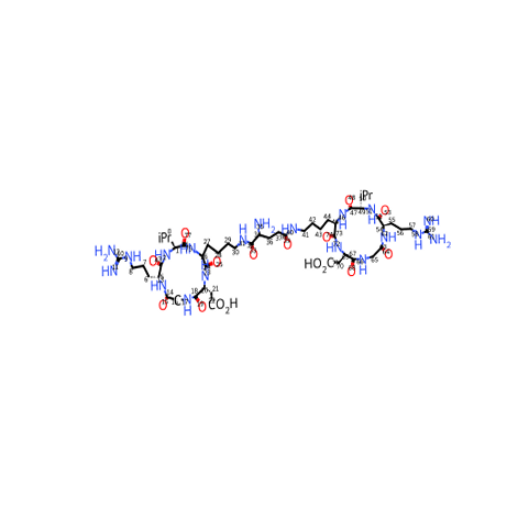 CC(C)[C@@H]1NC(=O)[C@@H](CCCNC(=N)N)NC(=O)CNC(=O)[C@@H](CC(=O)O)NC(=O)C(CCCCNC(=O)[C@@H](N)CCC(=O)NCCCC[C@H]2NC(=O)[C@H](C(C)C)NC(=O)[C@@H](CCCNC(=N)N)NC(=O)CNC(=O)[C@@H](CC(=O)O)NC2=O)NC1=O